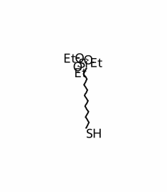 CCO[Si](CCCCCCCCCCCCS)(OCC)OCC